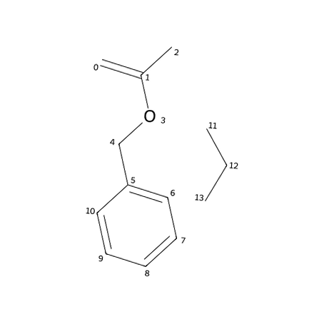 C=C(C)OCc1ccccc1.CCC